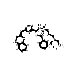 CCN(CC)CCCS(=O)(=O)N[C@H](CCc1ccccc1)c1nc(CC2CSc3ccccc3O2)n[nH]1